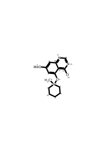 COc1cc(O[N+]2(C)CCCCC2)c2c(Cl)ncnc2c1